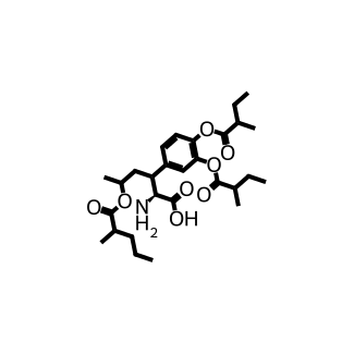 CCCC(C)C(=O)OC(C)CC(c1ccc(OC(=O)C(C)CC)c(OC(=O)C(C)CC)c1)[C@H](N)C(=O)O